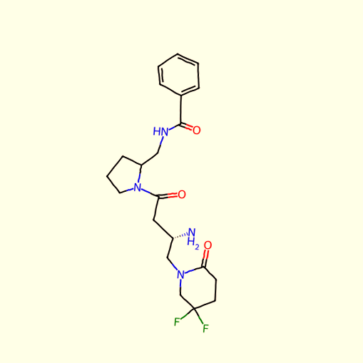 N[C@@H](CC(=O)N1CCCC1CNC(=O)c1ccccc1)CN1CC(F)(F)CCC1=O